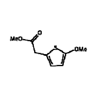 COC(=O)Cc1ccc(OC)s1